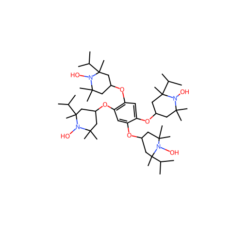 CC(C)C1(C)CC(Oc2cc(OC3CC(C)(C)N(O)C(C)(C(C)C)C3)c(OC3CC(C)(C)N(O)C(C)(C(C)C)C3)cc2OC2CC(C)(C)N(O)C(C)(C(C)C)C2)CC(C)(C)N1O